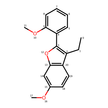 CCc1c(-c2ccccc2OC)oc2cc(OC)ccc12